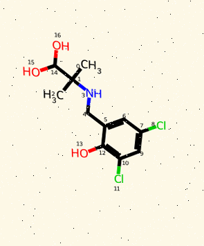 CC(C)(NCc1cc(Cl)cc(Cl)c1O)C(O)O